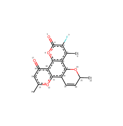 CCc1c(F)c(=O)oc2c1c1c(c3oc(C)cc(=O)c32)[C]=CC(CC)O1